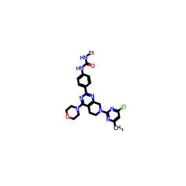 CCNC(=O)Nc1ccc(-c2nc3c(c(N4CCOCC4)n2)CCN(c2nc(C)cc(Cl)n2)C3)cc1